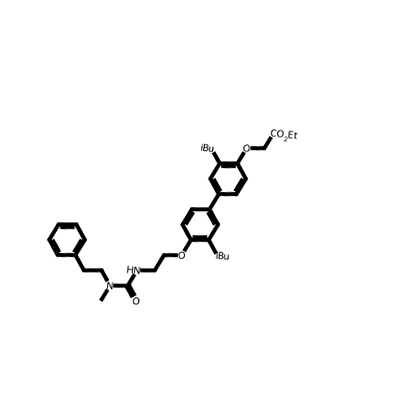 CCOC(=O)COc1ccc(-c2ccc(OCCNC(=O)N(C)CCc3ccccc3)c(C(C)CC)c2)cc1C(C)CC